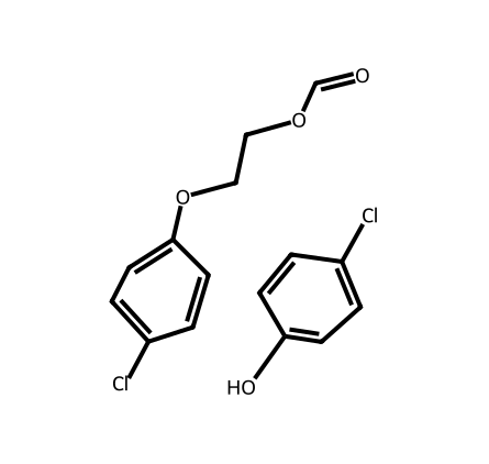 O=COCCOc1ccc(Cl)cc1.Oc1ccc(Cl)cc1